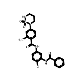 Cc1cc(N2CCCNS2(=O)=O)ccc1C(=O)Nc1ccc(Cl)c(NC(=O)c2ccccc2)c1